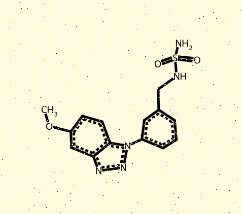 COc1ccc2c(c1)nnn2-c1cccc(CNS(N)(=O)=O)c1